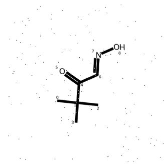 CC(C)(C)C(=O)C=NO